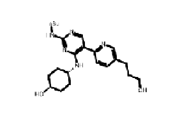 CCCCNc1ncc(-c2ccc(CCCO)cn2)c(N[C@H]2CC[C@H](O)CC2)n1